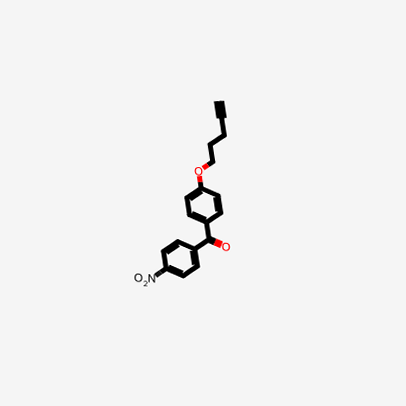 C#CCCCOc1ccc(C(=O)c2ccc([N+](=O)[O-])cc2)cc1